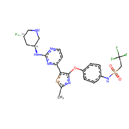 Cc1nc(Oc2ccc(NS(=O)(=O)CC(F)(F)F)cc2)c(-c2ccnc(N[C@@H]3CNC[C@@H](F)C3)n2)s1